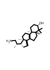 C[C@H](CN)[C@H]1CC=C2C3=C(CC[C@@]21C)[C@@]1(C)CC[C@H](O)C(C)(C)[C@@H]1CC3